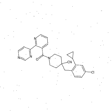 N#CC1(Cc2ccc(Cl)cc2C2CC2)CCN(C(=O)c2cccnc2-c2ccncn2)CC1